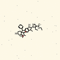 CCOC(=O)c1cnn(C2Nc3cc(C(c4ccccc4)C4(C(=O)C(C)O)CCNCC4CC)ccc3C2C)c1CC